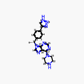 C[C@H](c1ccc(-c2c[nH]nn2)cc1)n1cnc2c(N3CCNCC3)ncnc21